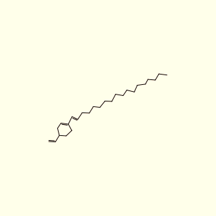 C=CC1CC=C(C=CCCCCCCCCCCCCCCCC)CC1